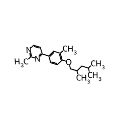 Cc1nccc(-c2ccc(OCC(C)CC(C)C)c(C)c2)n1